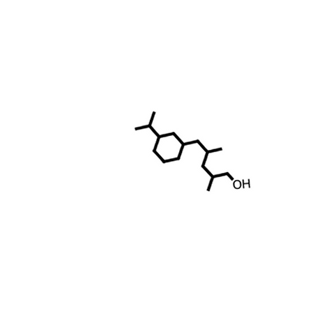 CC(CO)CC(C)CC1CCCC(C(C)C)C1